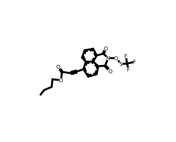 CCCCOC(=O)C#Cc1ccc2c3c(cccc13)C(=O)N(OSC(F)(F)F)C2=O